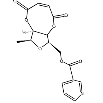 C[C@@H]1O[C@H](COC(=O)c2cccnc2)C2OC(=O)/C=C\C(=O)O[C@@H]21